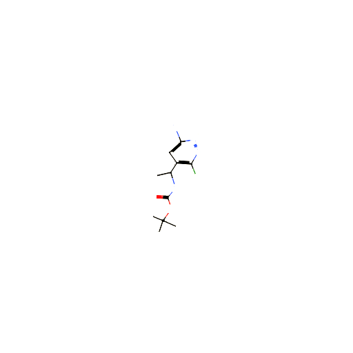 CC(NC(=O)OC(C)(C)C)c1cc(N)nnc1Cl